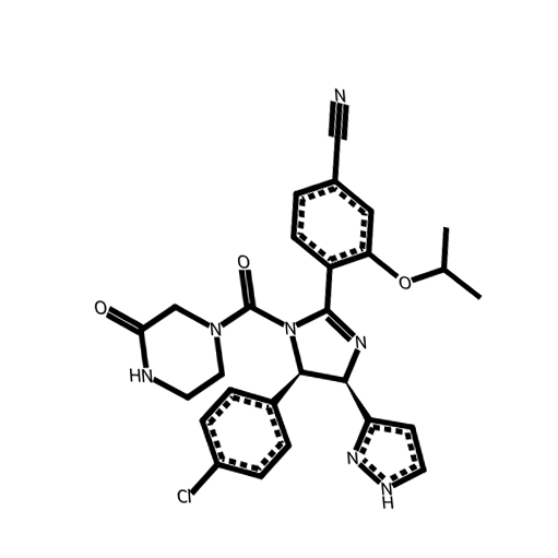 CC(C)Oc1cc(C#N)ccc1C1=N[C@@H](c2cc[nH]n2)[C@@H](c2ccc(Cl)cc2)N1C(=O)N1CCNC(=O)C1